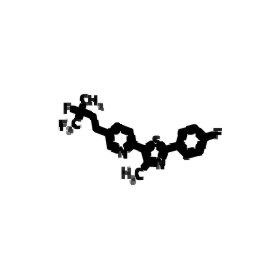 Cc1nc(-c2ccc(F)cc2)sc1-c1ccc(CCC(C)(F)C(F)(F)F)cn1